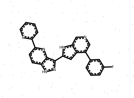 Fc1cccc(-c2cncc3[nH]c(-c4n[nH]c5ccc(-c6ccccn6)nc45)cc23)c1